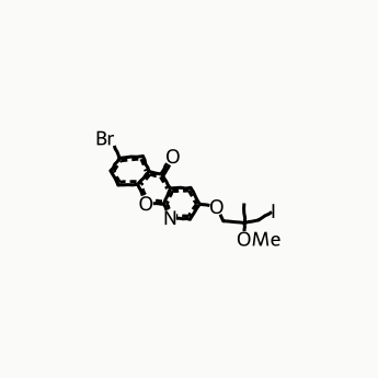 COC(C)(CI)COc1cnc2oc3ccc(Br)cc3c(=O)c2c1